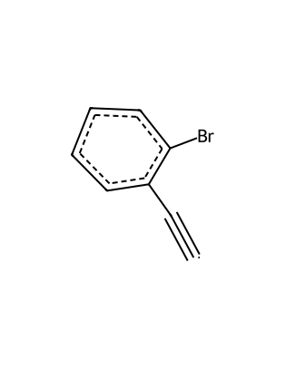 [C]#Cc1ccccc1Br